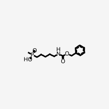 CP(=O)(O)CCCCCNC(=O)OCc1ccccc1